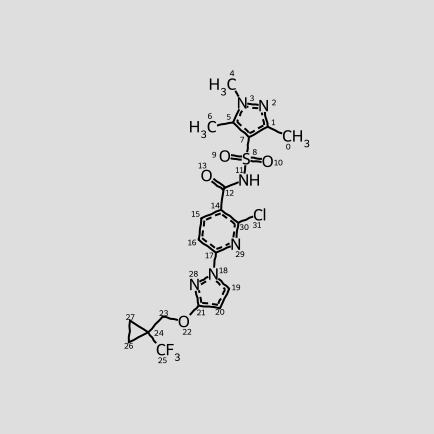 Cc1nn(C)c(C)c1S(=O)(=O)NC(=O)c1ccc(-n2ccc(OCC3(C(F)(F)F)CC3)n2)nc1Cl